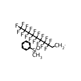 C[Si](=O)c1ccccc1.[CH2]CC(F)(F)C(F)(F)C(F)(F)C(F)(F)C(F)(F)C(F)(F)C(F)(F)C(F)(F)F